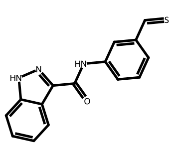 O=C(Nc1cccc(C=S)c1)c1n[nH]c2ccccc12